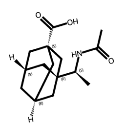 CC(=O)N[C@@H](C)[C@@]12C[C@@H]3C[C@@H](C[C@@](C(=O)O)(C3)C1)C2